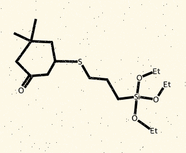 CCO[Si](CCCSC1CC(=O)CC(C)(C)C1)(OCC)OCC